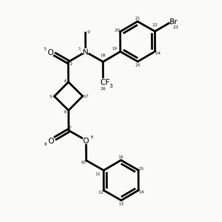 CN(C(=O)C1CC(C(=O)OCc2ccccc2)C1)C(c1ccc(Br)cc1)C(F)(F)F